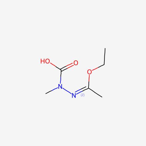 CCO/C(C)=N\N(C)C(=O)O